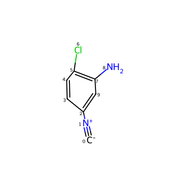 [C-]#[N+]c1ccc(Cl)c(N)c1